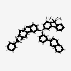 CC1(C)c2ccccc2-c2cc(N(c3cccc(-c4ccc5ccccc5c4)c3)c3ccc4oc5cc6nc(-c7ccccc7)oc6cc5c4c3)ccc21